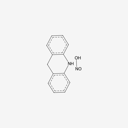 O=NO.c1ccc2c(c1)Cc1ccccc1N2